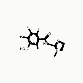 C[n+]1ccsc1NC(=O)c1c(F)c(F)c(S)c(C(=O)O)c1F